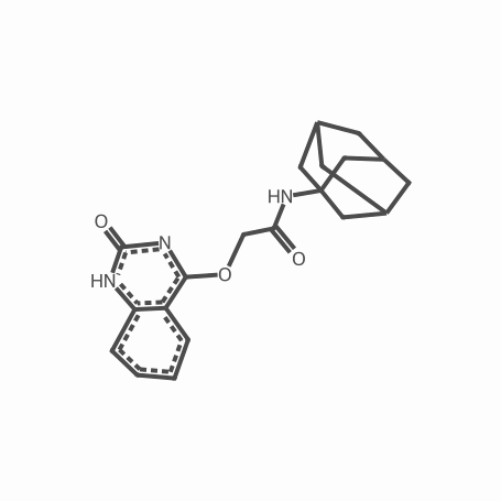 O=C(COc1nc(=O)[nH]c2ccccc12)NC12CC3CC(CC(C3)C1)C2